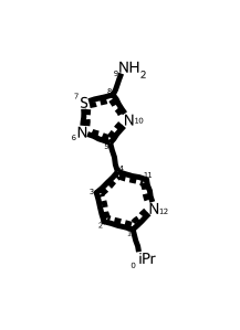 CC(C)c1ccc(-c2nsc(N)n2)cn1